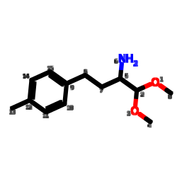 COC(OC)C(N)CCc1ccc(C)cc1